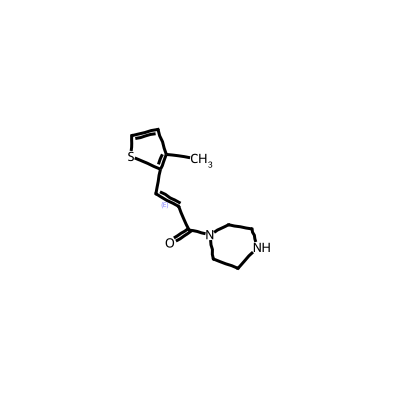 Cc1ccsc1/C=C/C(=O)N1CCNCC1